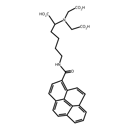 O=C(O)CN(CC(=O)O)C(CCCCNC(=O)c1ccc2ccc3cccc4ccc1c2c34)C(=O)O